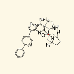 Nc1cc([C@H]2C[C@H]3CC[C@@H](C2)N3C(=O)[C@H]2CCCN2)nc2c(-c3ccc(-c4ccccc4)nc3)cnn12